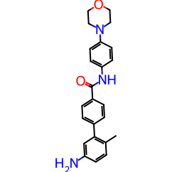 Cc1ccc(N)cc1-c1ccc(C(=O)Nc2ccc(N3CCOCC3)cc2)cc1